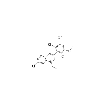 CCN1CC(c2c(Cl)c(OC)cc(OC)c2Cl)=Cc2cnc(Cl)cc21